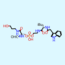 CC[C@H](C)[C@H](NC(=O)Cc1c[nH]c2ccccc12)C(=O)NCCOP(=O)(O)OC[C@H](NC=O)C(=O)NCCCO